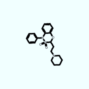 O=S1(=O)C(CCN2CCCCC2)Oc2ccccc2N1c1ccccc1